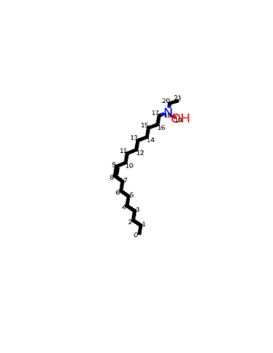 CCCCCCCC/C=C\CCCCCCCCN(O)CC